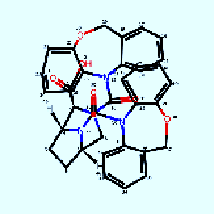 O=C(O)[C@@H]1[C@H]2CC[C@@H](CN1C(=O)N1c3ccccc3COc3ccccc31)N2C(=O)N1c2ccccc2COc2ccccc21